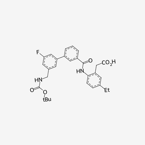 CCc1ccc(NC(=O)c2cccc(-c3cc(F)cc(CNC(=O)OC(C)(C)C)c3)c2)c(CC(=O)O)c1